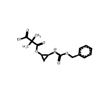 CCC(=O)C(C)(C)C(=O)OC1CC1NC(=O)OCc1ccccc1